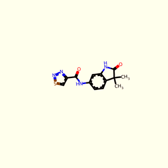 CC1(C)C(=O)Nc2cc(NC(=O)c3csnn3)ccc21